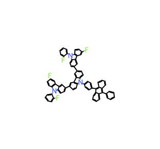 Fc1ccc2c(c1)c1cc(-c3ccc4c(c3)c3cc(-c5ccc6c(c5)c5cc(F)ccc5n6-c5ccccc5F)ccc3n4-c3ccc(-c4c5ccccc5c(-c5ccccc5)c5ccccc45)cc3)ccc1n2-c1ccccc1F